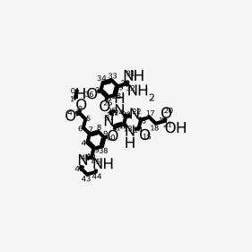 CCOC(=O)CCc1cc(OC2=C3NC(=O)C(CCC(=O)O)N=C3NC(Oc3cc(C(=N)N)ccc3O)=N2)cc(C2N=CCCN2)c1